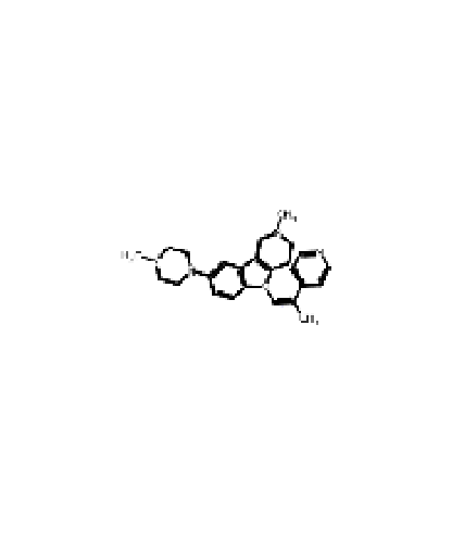 C/C(=C/n1c2c(c3cc(N4CCN(C)CC4)ccc31)CN(C)CC2)c1ccncc1